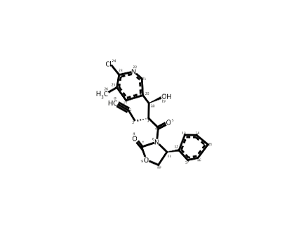 C#CC[C@@H](C(=O)N1C(=O)OC[C@@H]1c1ccccc1)[C@H](O)c1cnc(Cl)c(C)c1